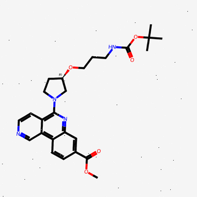 COC(=O)c1ccc2c(c1)nc(N1CC[C@@H](OCCCNC(=O)OC(C)(C)C)C1)c1ccncc12